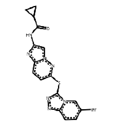 CC(C)c1ccc2nnc(Sc3ccc4nc(NC(=O)C5CC5)cn4n3)n2c1